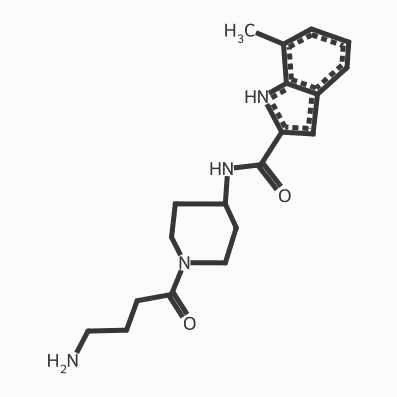 Cc1cccc2cc(C(=O)NC3CCN(C(=O)CCCN)CC3)[nH]c12